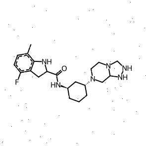 Cc1ccc(F)c2c1NC(C(=O)N[C@@H]1CCC[C@@H](N3CCN4CNNC4C3)C1)C2